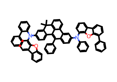 CC1(C)c2cc(N(c3ccccc3-c3ccccc3)c3cccc4c3oc3ccccc34)ccc2-c2c(-c3ccccc3)c3ccc(N(c4ccccc4)c4cccc5c4oc4c(-c6ccccc6)cccc45)cc3c3cccc1c23